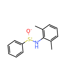 Cc1cccc(C)c1N[S@@+]([O-])c1ccccc1